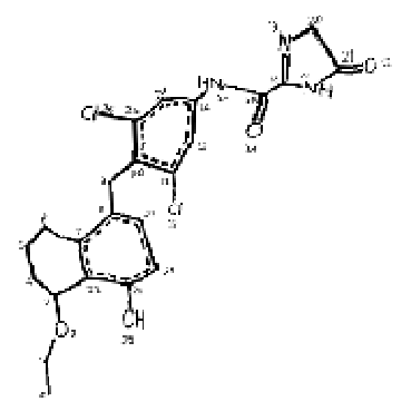 CCOC1CCCc2c(Cc3c(Cl)cc(NC(=O)C4=NCC(=O)N4)cc3Cl)ccc(O)c21